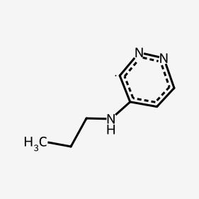 CCCNc1[c]nncc1